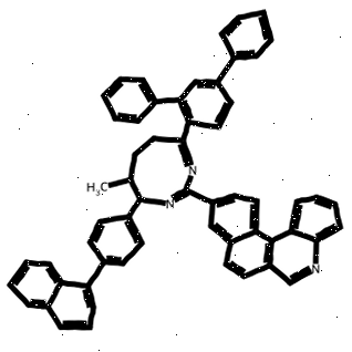 CC1CC/C(c2ccc(-c3ccccc3)cc2-c2ccccc2)=N\C(c2ccc3c(ccc4cnc5ccccc5c43)c2)=N/C1c1ccc(-c2cccc3ccccc23)cc1